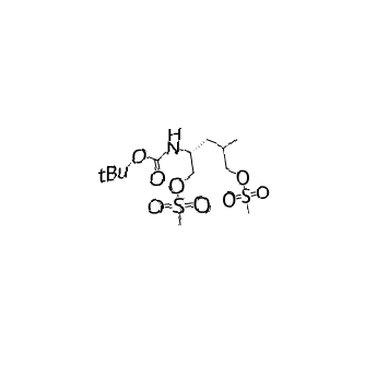 CC(COS(C)(=O)=O)C[C@H](COS(C)(=O)=O)NC(=O)OC(C)(C)C